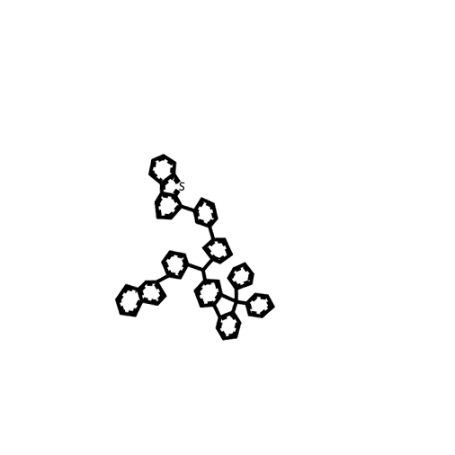 c1ccc(C2(c3ccccc3)c3ccccc3-c3ccc(C(c4cccc(-c5cccc(-c6cccc7c6sc6ccccc67)c5)c4)c4cccc(-c5ccc6ccccc6c5)c4)cc32)cc1